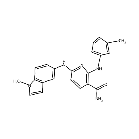 Cc1cccc(Nc2nc(Nc3ccc4c(ccn4C)c3)ncc2C(N)=O)c1